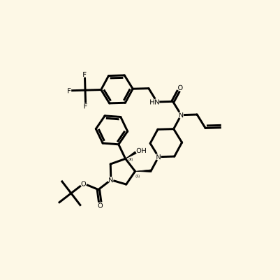 C=CCN(C(=O)NCc1ccc(C(F)(F)F)cc1)C1CCN(C[C@H]2CN(C(=O)OC(C)(C)C)C[C@]2(O)c2ccccc2)CC1